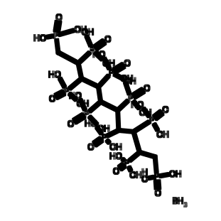 B.O=P(O)(O)CC(C(C(C(C(C(C(C(CP(=O)(O)O)P(=O)(O)O)P(=O)(O)O)P(=O)(O)O)P(=O)(O)O)P(=O)(O)O)P(=O)(O)O)P(=O)(O)O)P(=O)(O)O